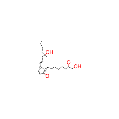 CCCCC(C)(O)CC=C[C@H]1C=CC(=O)[C@@H]1CCCCCCC(=O)CO